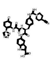 N#CC1CCN(C(=N)Nc2ccc(C[C@H](NC(=O)C(=O)Nc3cc(Cl)ccc3-n3cnnn3)C(=O)Nc3ccc4[nH]c(C(=O)O)cc4c3)cc2)CC1